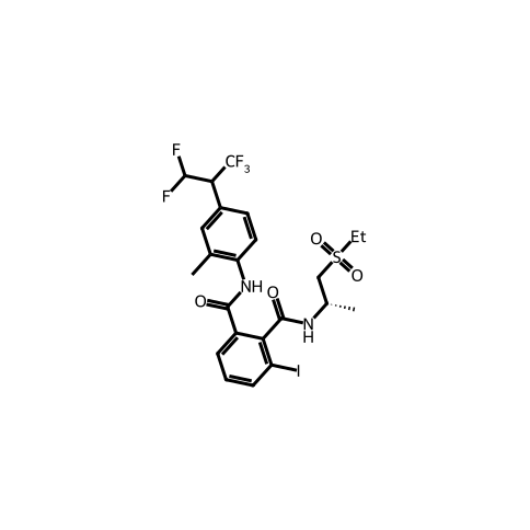 CCS(=O)(=O)C[C@H](C)NC(=O)c1c(I)cccc1C(=O)Nc1ccc(C(C(F)F)C(F)(F)F)cc1C